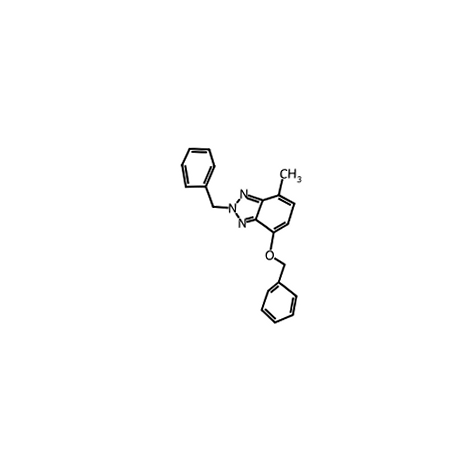 Cc1ccc(OCc2ccccc2)c2nn(Cc3ccccc3)nc12